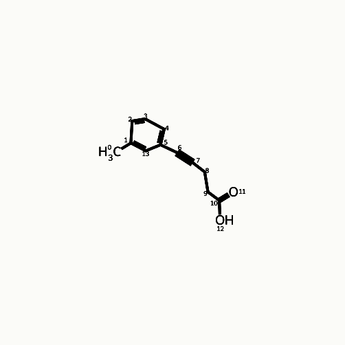 Cc1cccc(C#CCCC(=O)O)c1